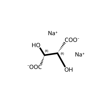 O=C([O-])[C@H](O)[C@@H](O)C(=O)[O-].[Na+].[Na+]